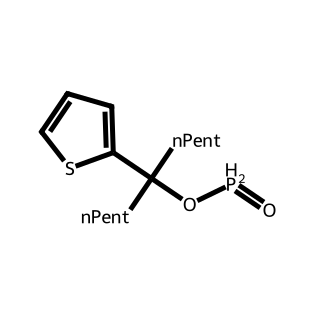 CCCCCC(CCCCC)(O[PH2]=O)c1cccs1